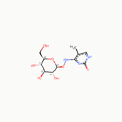 Cc1c[nH]c(=O)nc1NO[C@@H]1O[C@H](CO)[C@@H](O)[C@H](O)[C@H]1O